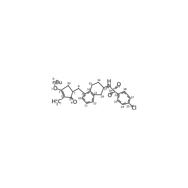 CCCCOC1=C(C)C(=O)C(Cc2cccc3c2CCC(NS(=O)(=O)c2ccc(Cl)cc2)C3)C1